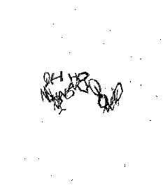 CC(C)c1cc(NC(=O)NC2CCC(Oc3ccc4nnc(N5[C@H](C)CCC[C@@H]5C)n4c3)c3ccccc32)n(-c2cnn(CCO)c2)n1